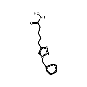 O=C(CCCCc1cn(Cc2ccccc2)nn1)NO